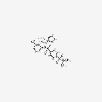 CN1c2c(Cl)cccc2N(S(=O)(=O)c2ccc(S(=O)(=O)N(C)C)cc2)C1c1ccsc1